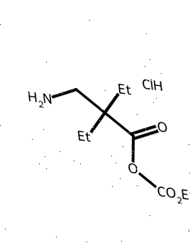 CCOC(=O)OC(=O)C(CC)(CC)CN.Cl